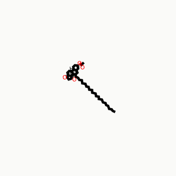 CCCCCCCCCCCCCCCCCCCCCCCC(=O)C1C=C2C[C@@H](OC(C)=O)CC[C@]2(C)[C@H]2CC[C@]3(C)C(=O)CC[C@H]3[C@H]12